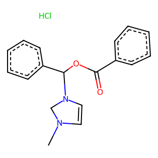 CN1C=CN(C(OC(=O)c2ccccc2)c2ccccc2)C1.Cl